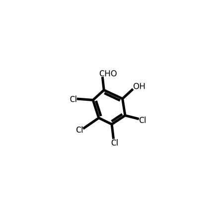 O=Cc1c(O)c(Cl)c(Cl)c(Cl)c1Cl